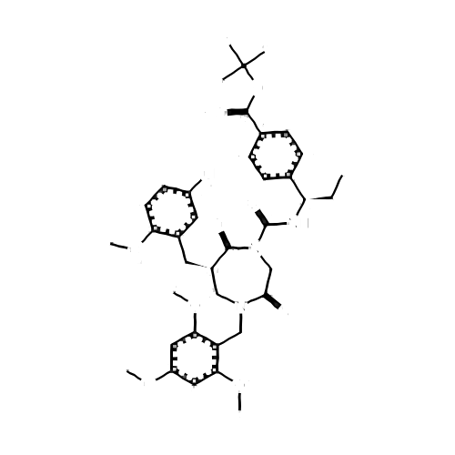 CC[C@@H](NC(=O)N1CC(=S)N(Cc2c(OC)cc(OC)cc2OC)C[C@@H](Cc2cc(Cl)ccc2OC)C1=O)c1ccc(C(=O)OC(C)(C)C)cc1